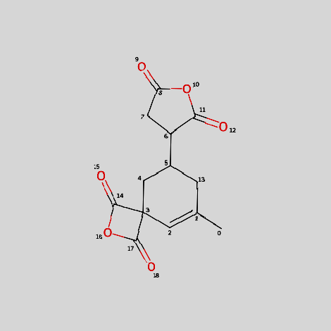 CC1=CC2(CC(C3CC(=O)OC3=O)C1)C(=O)OC2=O